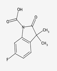 CC1(C)C(=O)N(C(=O)O)c2cc(F)ccc21